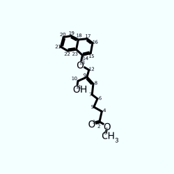 COC(=O)CCCCC=C(CO)COc1cccc2ccccc12